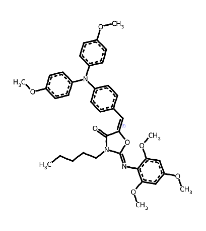 CCCCCN1C(=O)/C(=C\c2ccc(N(c3ccc(OC)cc3)c3ccc(OC)cc3)cc2)OC1=Nc1c(OC)cc(OC)cc1OC